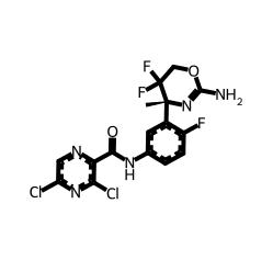 C[C@]1(c2cc(NC(=O)c3ncc(Cl)nc3Cl)ccc2F)N=C(N)OCC1(F)F